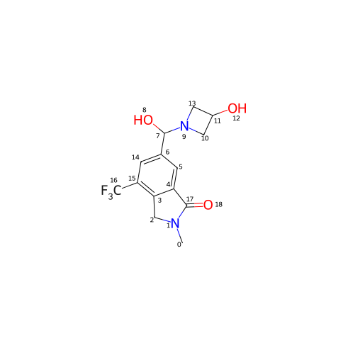 CN1Cc2c(cc(C(O)N3CC(O)C3)cc2C(F)(F)F)C1=O